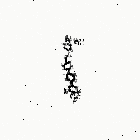 CCCCC[Si@H]1CC[C@H](CCC2CCC(c3ccc(-c4cc(F)c(OC(F)F)c(F)c4)cc3)CC2)CC1